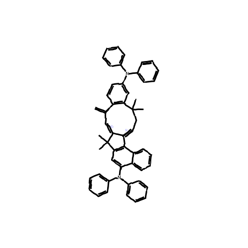 C=C1/C=C2\C(=C/CC(C)(C)c3cc(N(c4ccccc4)c4ccccc4)ccc31)c1c(cc(N(c3ccccc3)c3ccccc3)c3ccccc13)C2(C)C